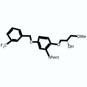 CCCCCc1cc(OCc2cccc(C(F)(F)F)c2)ccc1OC[C@@H](O)COC